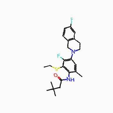 CCSc1c(F)c(N2CCc3cc(F)ccc3C2)cc(C)c1NC(=O)CC(C)(C)C